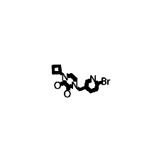 O=c1c(=O)n(C2CCC2)ccn1Cc1ccc(Br)nc1